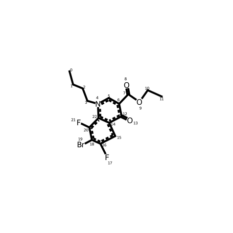 CCCCn1cc(C(=O)OCC)c(=O)c2cc(F)c(Br)c(F)c21